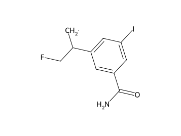 [CH2]C(CF)c1cc(I)cc(C(N)=O)c1